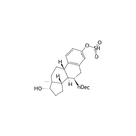 CCCCCCCCCC[C@@H]1Cc2cc(O[SH](=O)=O)ccc2[C@H]2CC[C@]3(C)[C@@H](O)CC[C@H]3[C@H]12